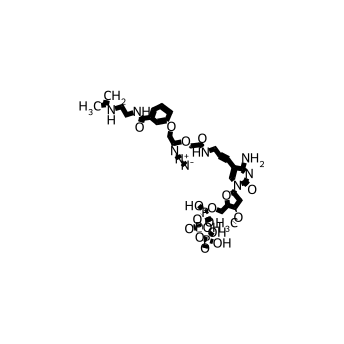 C=C(C)NCCNC(=O)c1cccc(OCC(N=[N+]=[N-])OCC(=O)NCC#Cc2cn(C3C[C@H](OC)C(COP(=O)(O)OP(=O)(O)OP(=O)(O)O)O3)c(=O)nc2N)c1